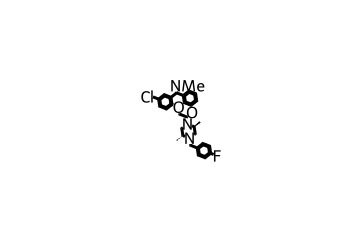 CNC(c1ccccc1)c1cc(Cl)ccc1OCC(=O)N1C[C@@H](C)N(Cc2ccc(F)cc2)C[C@@H]1C